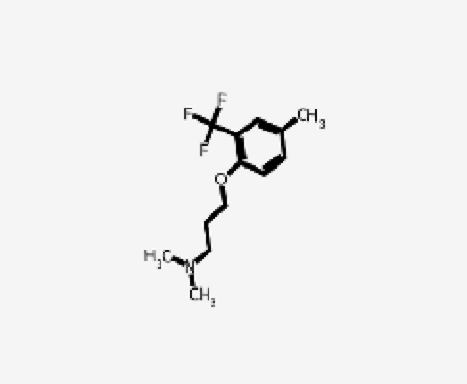 Cc1ccc(OCCCN(C)C)c(C(F)(F)F)c1